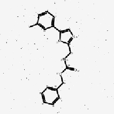 Cc1cccc(-c2cnc(CNC(=O)OCc3ccccc3)o2)c1